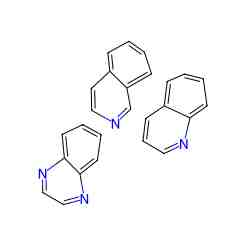 c1ccc2cnccc2c1.c1ccc2ncccc2c1.c1ccc2nccnc2c1